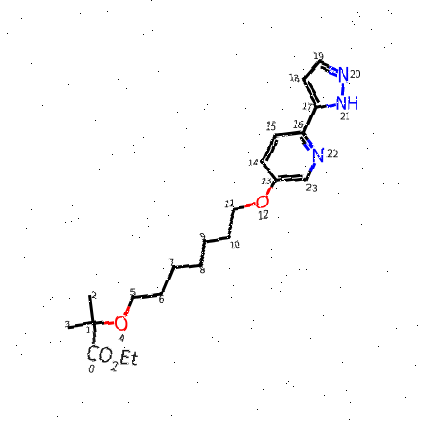 CCOC(=O)C(C)(C)OCCCCCCCOc1ccc(-c2ccn[nH]2)nc1